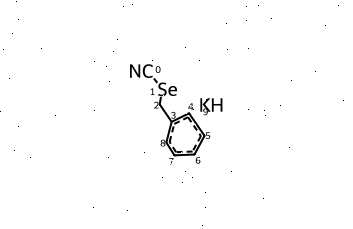 N#C[Se]Cc1ccccc1.[KH]